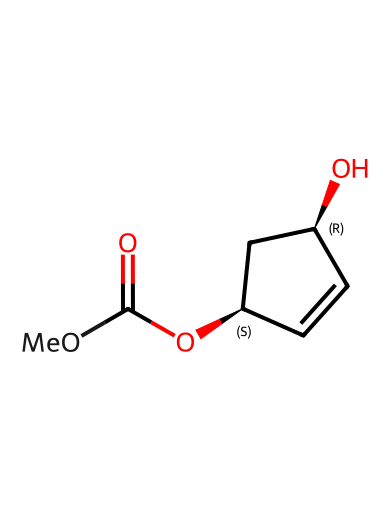 COC(=O)O[C@@H]1C=C[C@H](O)C1